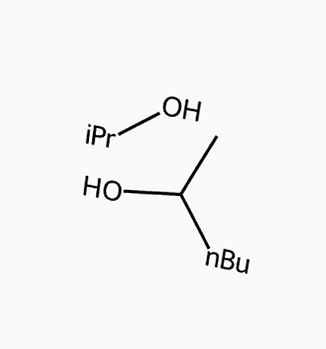 CC(C)O.CCCCC(C)O